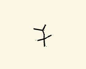 [CH2]C([CH2])([CH2])[C](C)C